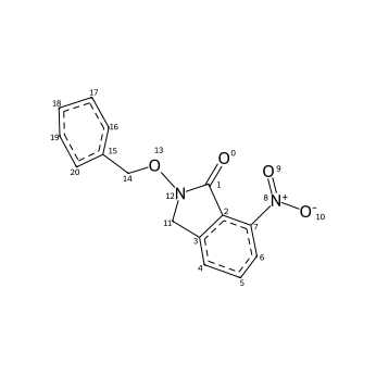 O=C1c2c(cccc2[N+](=O)[O-])CN1OCc1ccccc1